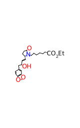 CCOC(=O)CCCCCCN1C(=O)CC[C@@H]1C=CC(O)Cc1ccc2c(c1)OCO2